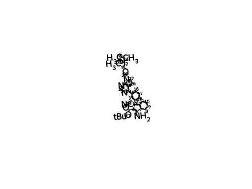 CC(C)(C)OC(=O)C1=C(N)c2ccccc2C1(C#N)c1cccc(-c2ncnc3c2ccn3COCC[Si](C)(C)C)c1